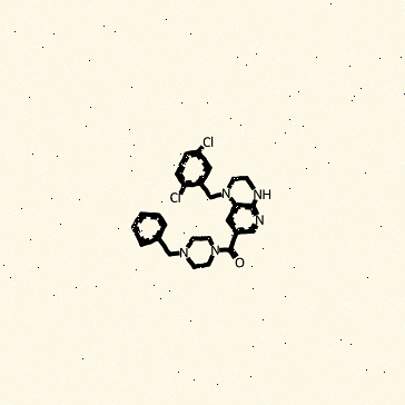 O=C(c1cnc2c(c1)N(Cc1cc(Cl)ccc1Cl)CCN2)N1CCN(Cc2ccccc2)CC1